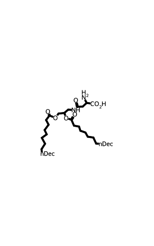 CCCCCCCCCCCCCCCCCC(=O)OCC(CNC(=O)CC(N)C(=O)O)OC(=O)CCCCCCCCCCCCCCCCC